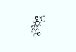 CCC(C)c1cc(CC(C(C)=O)C(C)=O)ccc1O